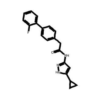 O=C(Cc1ccc(-c2ccccc2F)cc1)Nc1cc(C2CC2)[nH]n1